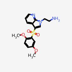 COc1ccc(OC)c(S(=O)(=O)c2cn(CCN)c3ncccc23)c1